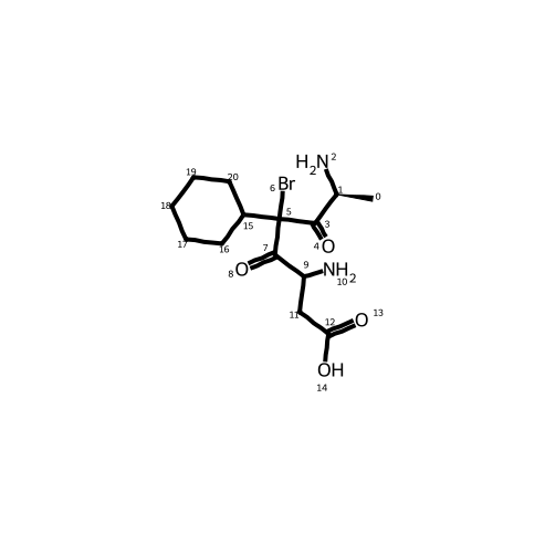 C[C@H](N)C(=O)C(Br)(C(=O)C(N)CC(=O)O)C1CCCCC1